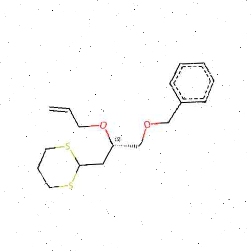 C=CCO[C@H](COCc1ccccc1)CC1SCCCS1